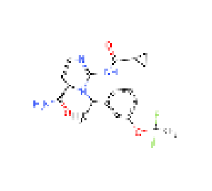 CC(c1cccc(OC(F)(F)C(F)(F)F)c1)N1C(NC(=O)C2CC2)=NC=C[C@@H]1C(N)=O